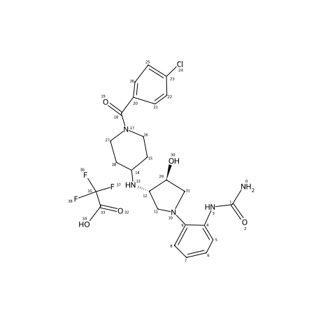 NC(=O)Nc1ccccc1N1C[C@H](NC2CCN(C(=O)c3ccc(Cl)cc3)CC2)[C@@H](O)C1.O=C(O)C(F)(F)F